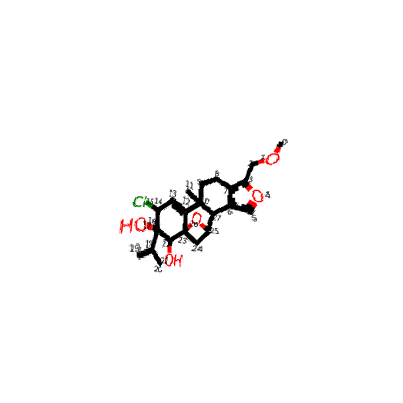 COCc1occ2c1CCC1(C)C3=CC(Cl)C(O)(C(C)C)C(O)C34CC(O4)C21